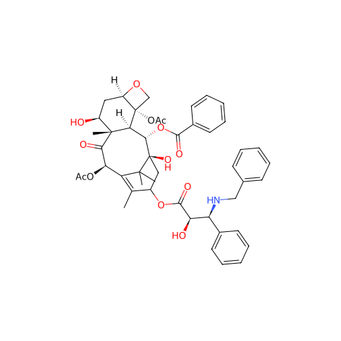 CC(=O)O[C@H]1C(=O)[C@@]2(C)[C@H]([C@H](OC(=O)c3ccccc3)[C@]3(O)CC(OC(=O)[C@H](O)[C@@H](NCc4ccccc4)c4ccccc4)C(C)=C1C3(C)C)[C@]1(OC(C)=O)CO[C@@H]1C[C@@H]2O